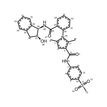 Cc1cc(C(=O)Nc2ccc(S(C)(=O)=O)cc2)c(C)n1-c1ccccc1C(=O)N[C@@H]1c2ccccc2C[C@@H]1O